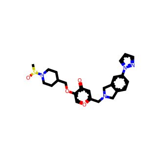 C[S+]([O-])N1CCC(COc2coc(CN3Cc4ccc(-n5cccn5)cc4C3)cc2=O)CC1